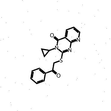 O=C(CSc1nc2ncccc2c(=O)n1C1CC1)c1ccccc1